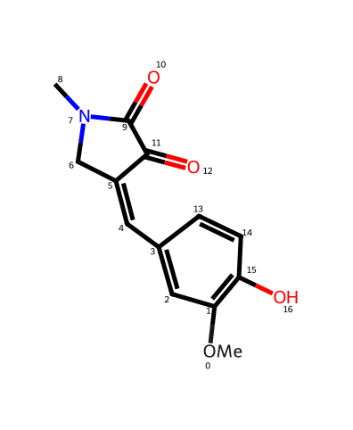 COc1cc(C=C2CN(C)C(=O)C2=O)ccc1O